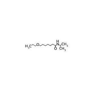 CCCOCCCCCCC(=O)NC(C)C